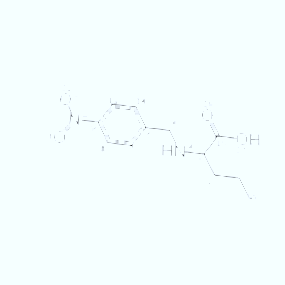 CCCC(NCc1ccc([N+](=O)[O-])cc1)C(=O)O